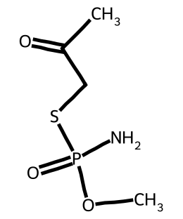 COP(N)(=O)SCC(C)=O